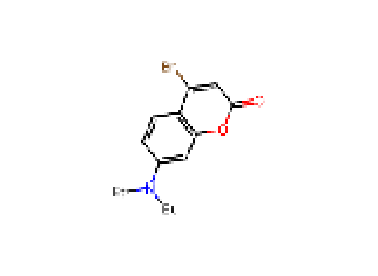 CCN(CC)c1ccc2c(Br)cc(=O)oc2c1